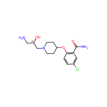 NC[C@@H](O)CN1CCC(Oc2ccc(Cl)cc2C(N)=O)CC1